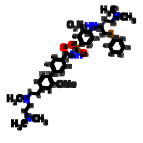 COc1cc(CCN(C)CCN(C)C)ccc1-c1ccc(C(=O)NS(=O)(=O)c2ccc(N[C@H](CCN(C)C)CSc3ccccc3)c([N+](=O)[O-])c2)cc1